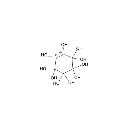 O[C@@H]1[C@H](O)C(O)(O)C(O)(O)C(O)(O)C1(O)O